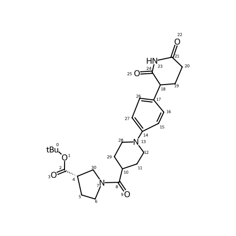 CC(C)(C)OC(=O)[C@H]1CCN(C(=O)C2CCN(c3ccc(C4CCC(=O)NC4=O)cc3)CC2)C1